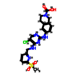 CS(=O)(=O)c1cccc(CNc2nc(Nc3ccc4c(c3)CCN(C(=O)O)C4)ncc2Cl)n1